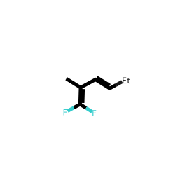 CCC=CC(C)=C(F)F